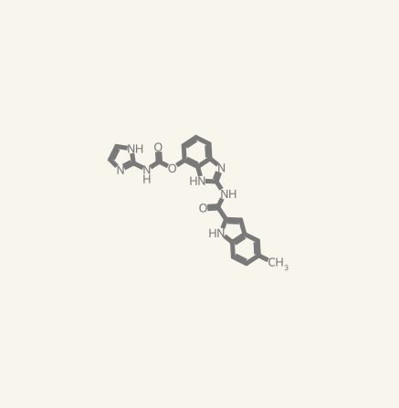 Cc1ccc2[nH]c(C(=O)Nc3nc4cccc(OC(=O)Nc5ncc[nH]5)c4[nH]3)cc2c1